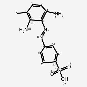 Cc1ccc(N)c(N=Nc2ccc(S(=O)(=O)O)cc2)c1N